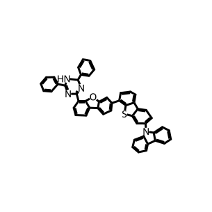 c1ccc(C2=NC(c3cccc4c3oc3cc(-c5cccc6c5sc5cc(-n7c8ccccc8c8ccccc87)ccc56)ccc34)=NC(c3ccccc3)N2)cc1